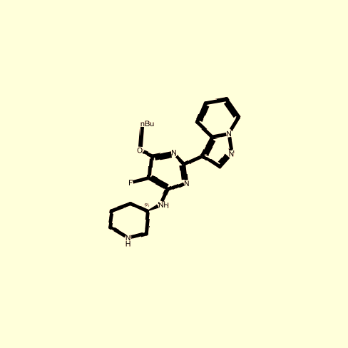 CCCCOc1nc(-c2cnn3ccccc23)nc(N[C@@H]2CCCNC2)c1F